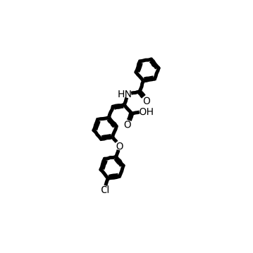 O=C(O)/C(=C\c1cccc(Oc2ccc(Cl)cc2)c1)NC(=O)c1ccccc1